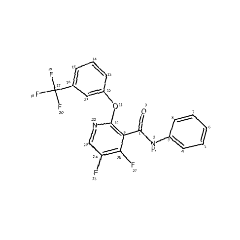 O=C(Nc1ccccc1)c1c(Oc2cccc(C(F)(F)F)c2)ncc(F)c1F